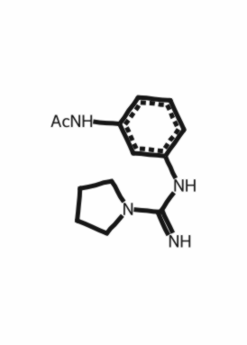 CC(=O)Nc1cccc(NC(=N)N2CCCC2)c1